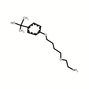 CC(C)(O)c1ccc(OCCCCOCCN)cc1